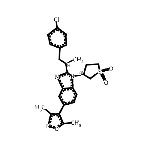 Cc1noc(C)c1-c1ccc2c(c1)nc([C@H](C)Cc1ccc(Cl)cc1)n2[C@H]1CCS(=O)(=O)C1